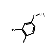 COc1ccc(F)c(S)c1